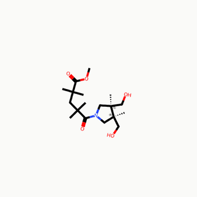 COC(=O)C(C)(C)CC(C)(C)C(=O)N1C[C@](C)(CO)[C@](C)(CO)C1